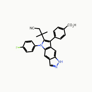 CC(C)(CC#N)c1c(-c2ccc(C(=O)O)cc2)c2cc3[nH]ncc3cc2n1-c1ccc(F)cc1